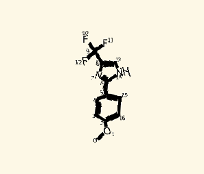 COc1ccc(-c2nc(C(F)(F)F)c[nH]2)cc1